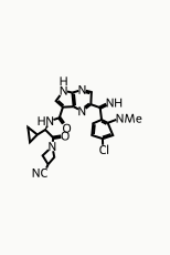 CNc1cc(Cl)ccc1C(=N)c1cnc2[nH]cc(C(=O)N[C@@H](C(=O)N3CC(C#N)C3)C3CC3)c2n1